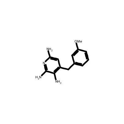 COc1cccc(Cc2cc(N)nc(N)c2N)c1